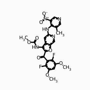 COC(=O)Nc1c(C(=O)c2c(F)c(OC)cc(OC)c2F)oc2cnc(Nc3c(C)cncc3[N+](=O)[O-])cc12